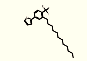 CCCCCCCCCCCCc1cc(-c2cccs2)ccc1C(F)(F)F